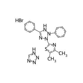 Br.Cc1nc(N2N=C(c3ccccc3)NN2c2ccccc2)sc1C.c1nnn[nH]1